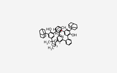 CCCc1cc(-c2ccccc2-c2cc(C(C)(C)C)cc(C34CC5CC(CC(C5)C3)C4)c2O)nc(-c2ccccc2-c2cc(C(C)(C)C)cc(C34CC5CC(CC(C5)C3)C4)c2O)c1